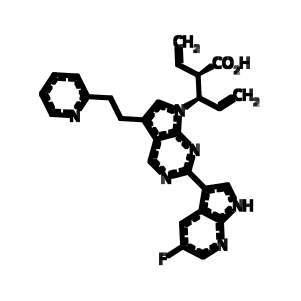 C=C[C@H]([C@@H](C=C)C(=O)O)n1cc(CCc2ccccn2)c2cnc(-c3c[nH]c4ncc(F)cc34)nc21